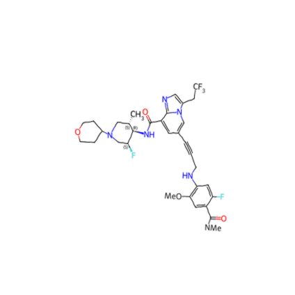 CNC(=O)c1cc(OC)c(NCC#Cc2cc(C(=O)N[C@@H]3[C@@H](C)CN(C4CCOCC4)C[C@@H]3F)c3ncc(CC(F)(F)F)n3c2)cc1F